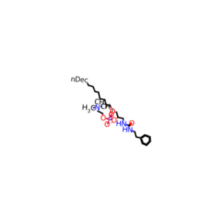 CCCCCCCCCCCCCCCCCCOCC(CNC(=O)NCCc1ccccc1)OP(=O)([O-])OCC[N+](C)(C)C